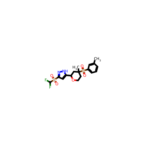 Cc1cccc(S(=O)(=O)C2(C)CCOC(c3cc(S(=O)(=O)C(F)F)n[nH]3)C2)c1